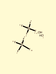 Cl.Cl.F[B-](F)(F)F.F[B-](F)(F)F